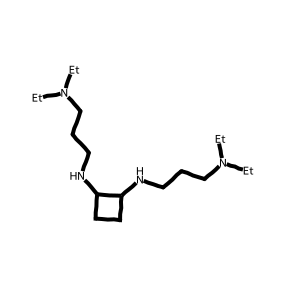 CCN(CC)CCCNC1CCC1NCCCN(CC)CC